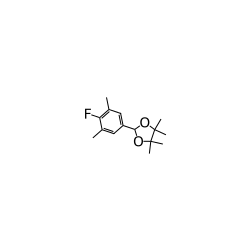 Cc1cc(C2OC(C)(C)C(C)(C)O2)cc(C)c1F